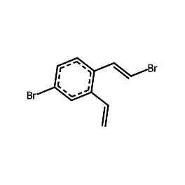 C=Cc1cc(Br)ccc1C=CBr